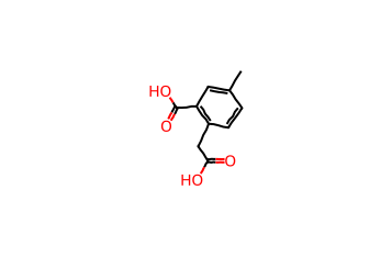 Cc1ccc(CC(=O)O)c(C(=O)O)c1